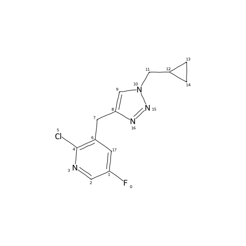 Fc1cnc(Cl)c(Cc2cn(CC3CC3)nn2)c1